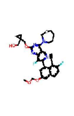 C#Cc1c(F)ccc2cc(OCOC)cc(-c3ncc4c(N5CCCCCC5)nc(OCC5(CO)CC5)nc4c3F)c12